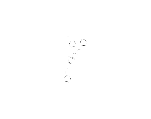 O=C(O[C@H]1C[N+]2(CCCc3ccccc3)CCC1CC2)N(Cc1ccccc1)c1ccc(F)cc1